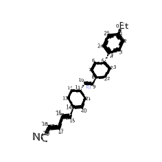 CCc1ccc([C@H]2CC[C@H](/C=C/[C@H]3CC[C@H](C=CC=CC#N)CC3)CC2)cc1